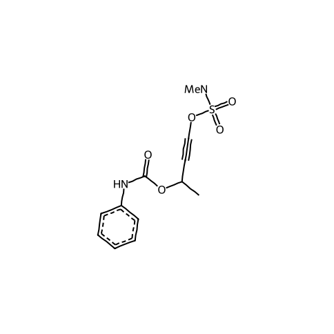 CNS(=O)(=O)OC#CC(C)OC(=O)Nc1ccccc1